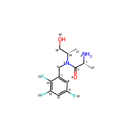 C[C@@H](N)C(=O)N(Cc1cc(F)cc(F)c1F)[C@@H](C)CO